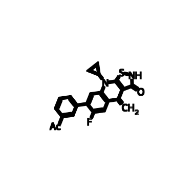 C=C1c2cc(F)c(-c3cccc(C(C)=O)c3)cc2N(C2CC2)c2s[nH]c(=O)c21